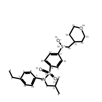 CCc1ccc(N(CC(C)C)S(=O)(=O)c2ccc([S+]([O-])CC3CCOCC3)cc2)cc1